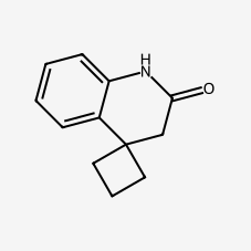 O=C1CC2(CCC2)c2ccccc2N1